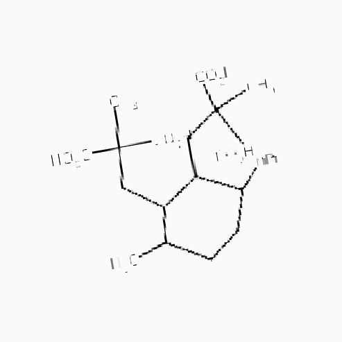 CCCC1CCC(C)C(CC(C)(C(=O)O)C(=O)O)C1CC(C)(C(=O)O)C(=O)O